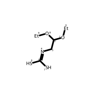 CCOC(CN=C(S)S)OCC